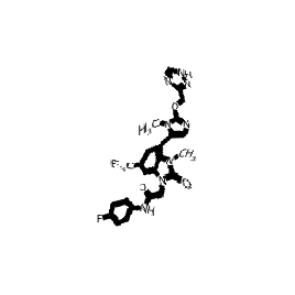 Cn1c(-c2cc(C(F)(F)F)cc3c2n(C)c(=O)n3CC(=O)Nc2ccc(F)cc2)cnc1OCc1nc[nH]n1